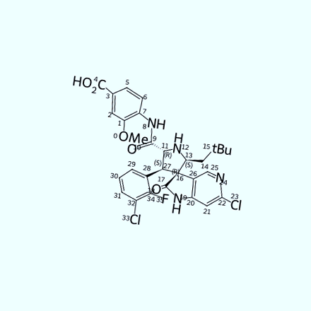 COc1cc(C(=O)O)ccc1NC(=O)[C@@H]1N[C@@H](CC(C)(C)C)[C@@]2(C(=O)Nc3cc(Cl)ncc32)[C@H]1c1cccc(Cl)c1F